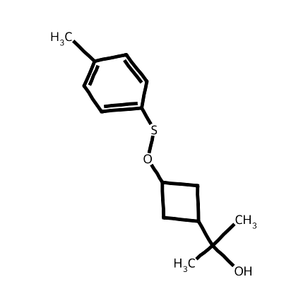 Cc1ccc(SOC2CC(C(C)(C)O)C2)cc1